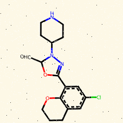 O=CC1OC(c2cc(Cl)cc3c2OCCC3)=NN1C1CCNCC1